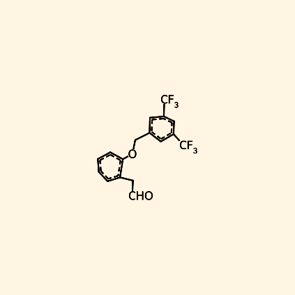 O=CCc1ccccc1OCc1cc(C(F)(F)F)cc(C(F)(F)F)c1